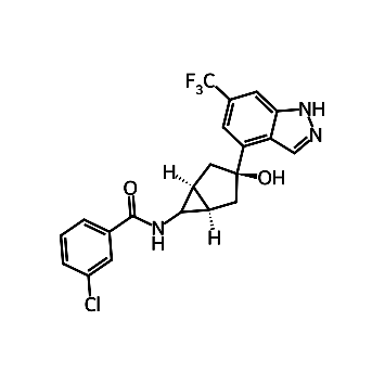 O=C(NC1[C@H]2C[C@](O)(c3cc(C(F)(F)F)cc4[nH]ncc34)C[C@@H]12)c1cccc(Cl)c1